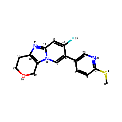 CSc1ccc(-c2cn3c4c(nc3cc2F)CCOC4)cn1